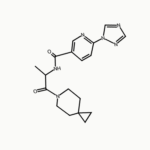 CC(NC(=O)c1ccc(-n2cncn2)nc1)C(=O)N1CCC2(CC1)CC2